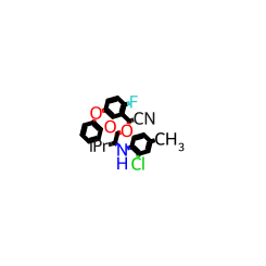 Cc1ccc(NC(C(=O)OC(C#N)c2cc(Oc3ccccc3)ccc2F)C(C)C)c(Cl)c1